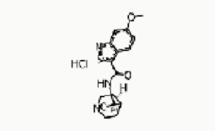 COc1ccc2c(C(=O)N[C@@H]3CN4CCC3CC4)snc2c1.Cl